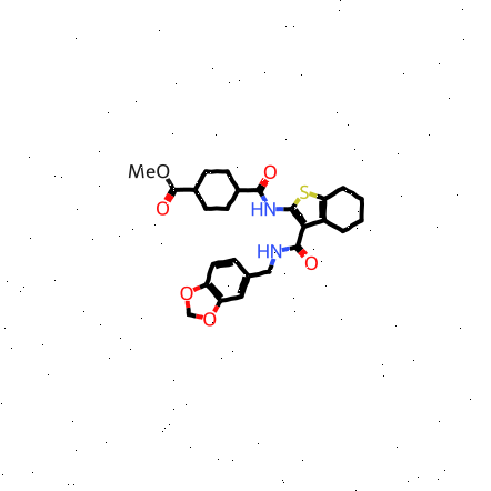 COC(=O)C1CCC(C(=O)Nc2sc3c(c2C(=O)NCc2ccc4c(c2)OCO4)CCCC3)CC1